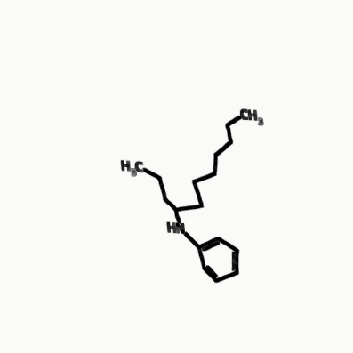 CCCCCCCC(CCC)Nc1ccccc1